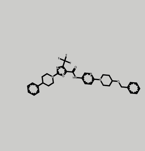 O=C(Nc1ccc(N2CCC(OCc3ccccc3)CC2)nc1)c1oc(N2CCC(c3ccccc3)CC2)nc1C(F)(F)F